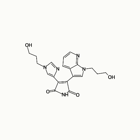 O=C1NC(=O)C(c2cn(CCCO)c3ncccc23)=C1c1cn(CCCO)cn1